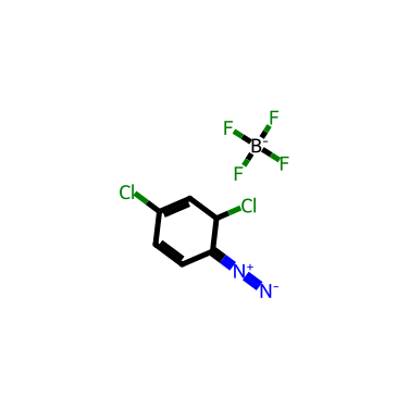 F[B-](F)(F)F.[N-]=[N+]=C1C=CC(Cl)=CC1Cl